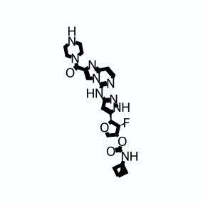 O=C(NC12CC(C1)C2)O[C@H]1CO[C@@H](c2cc(Nc3nccc4nc(C(=O)N5CCNCC5)cn34)n[nH]2)[C@@H]1F